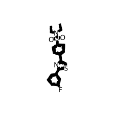 CCN(CC)S(=O)(=O)c1ccc(-c2csc(-c3cccc(F)c3)n2)cc1